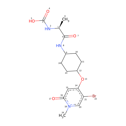 C[C@H](NC(=O)O)C(=O)NC1CCC(Oc2cc(=O)n(C)cc2Br)CC1